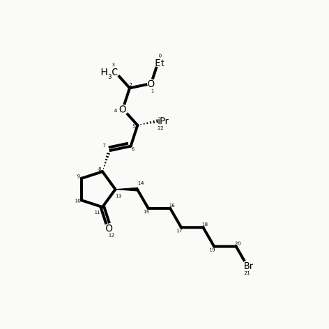 CCOC(C)O[C@@H](/C=C/[C@H]1CCC(=O)[C@@H]1CCCCCCCBr)C(C)C